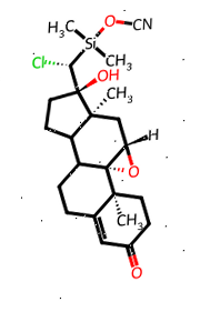 C[C@]12CCC(=O)C=C1CCC1C3CC[C@](O)([C@H](Cl)[Si](C)(C)OC#N)[C@@]3(C)C[C@@H]3O[C@]132